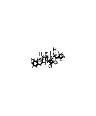 C=CCN(C[C@@H](Cc1ccccc1)N(C)C)c1c(N[C@H](C)Cc2ccsc2)c(=O)c1=O